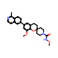 CONC(=O)N1CCC2(CCc3cc(-c4ccc5c(C)nccc5c4)cc(OC)c3O2)CC1